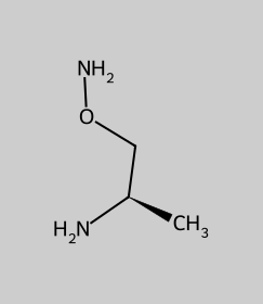 C[C@@H](N)CON